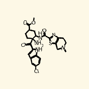 COC(=O)C1CCC(N)(C(=O)c2cc3cc(Cl)ccc3[nH]2)C(NC(=O)c2nc3c(s2)CN(C)CC3)C1